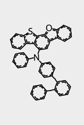 c1ccc(-c2ccccc2-c2ccc(N(c3ccccc3)c3cc4c5ccccc5oc4c4sc5ccccc5c34)cc2)cc1